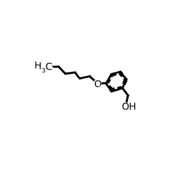 CCCCCCOc1cccc(CO)c1